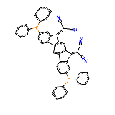 N#CC(C#N)=C1c2cc(P(c3ccccc3)c3ccccc3)ccc2-c2cc3c(cc21)C(=C(C#N)C#N)c1cc(P(c2ccccc2)c2ccccc2)ccc1-3